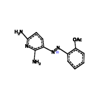 CC(=O)Oc1ccccc1/N=N/c1ccc(N)nc1N